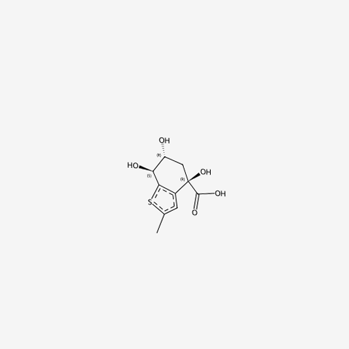 Cc1cc2c(s1)[C@@H](O)[C@H](O)C[C@]2(O)C(=O)O